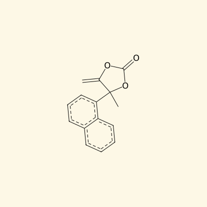 C=C1OC(=O)OC1(C)c1cccc2ccccc12